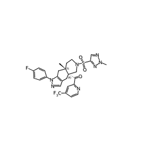 Cn1ncc(S(=O)(=O)N2CC[C@@]3(C)Cc4c(cnn4-c4ccc(F)cc4)C[C@]3(C(=O)c3cc(C(F)(F)F)ccn3)C2)n1